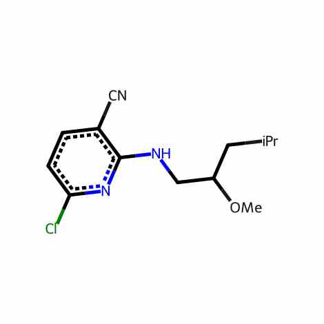 COC(CNc1nc(Cl)ccc1C#N)CC(C)C